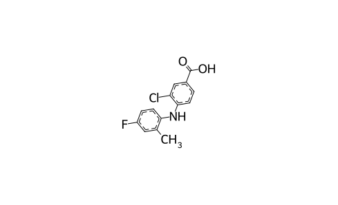 Cc1cc(F)ccc1Nc1ccc(C(=O)O)cc1Cl